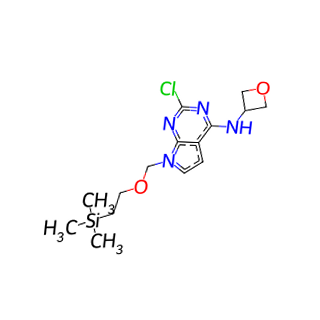 C[Si](C)(C)CCOCn1ccc2c(NC3COC3)nc(Cl)nc21